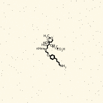 CC(=O)O.CCCCCCN(CCOc1ccc(CCCCN)cc1)C[C@H](O)[C@@H](O)[C@@]1(O)CCO[C@H](C)O1